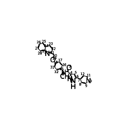 CN(C(=O)c1cc(-c2ccncc2)[nH]n1)c1ccc(OCc2ccc3ccccc3n2)cc1